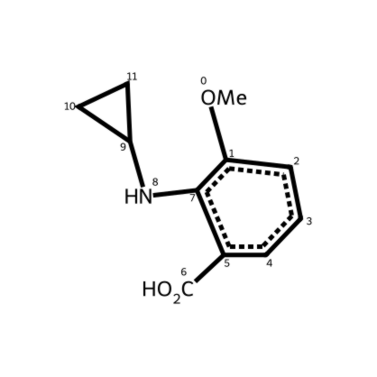 COc1cccc(C(=O)O)c1NC1CC1